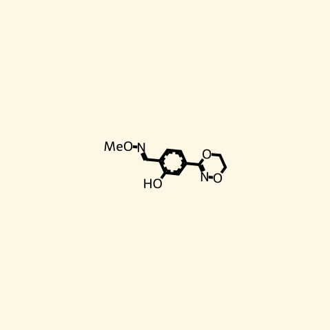 CON=Cc1ccc(C2=NOCCO2)cc1O